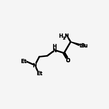 CCN(CC)CCNC(=O)[C@@H](N)C(C)(C)C